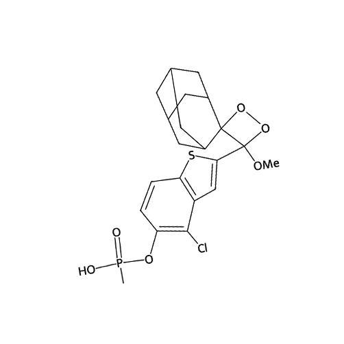 COC1(c2cc3c(Cl)c(OP(C)(=O)O)ccc3s2)OOC12C1CC3CC(C1)CC2C3